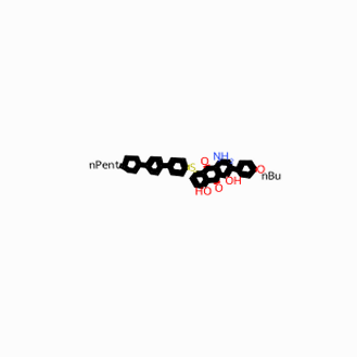 CCCCCC1CCC(c2ccc(-c3ccc(Sc4ccc(O)c5c4C(=O)c4c(N)cc(-c6ccc(OCCCC)cc6)c(O)c4C5=O)cc3)cc2)CC1